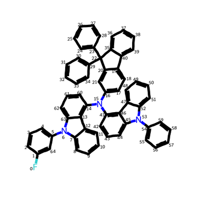 Fc1cccc(-n2c3ccccc3c3c(N(c4ccc5c(c4)C(c4ccccc4)(c4ccccc4)c4ccccc4-5)c4cccc5c4c4ccccc4n5-c4ccccc4)cccc32)c1